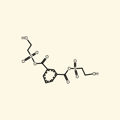 O=C(OS(=O)(=O)CCO)c1cccc(C(=O)OS(=O)(=O)CCO)c1